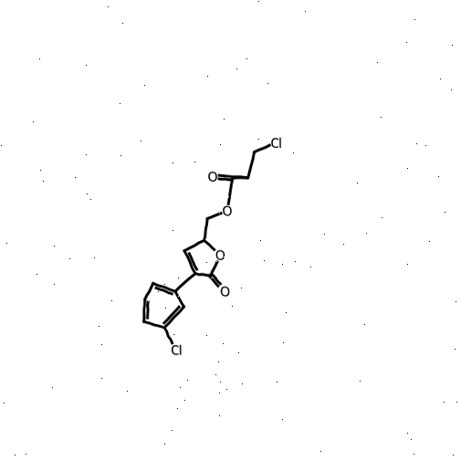 O=C(CCCl)OCC1C=C(c2cccc(Cl)c2)C(=O)O1